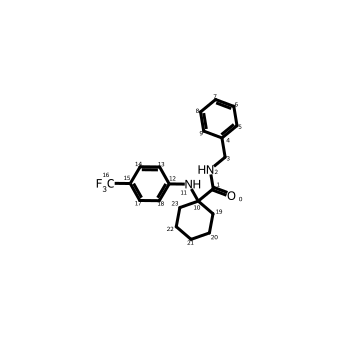 O=C(NCc1ccccc1)C1(Nc2ccc(C(F)(F)F)cc2)CCCCC1